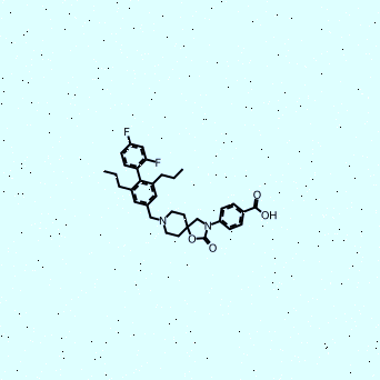 CCCc1cc(CN2CCC3(CC2)CN(c2ccc(C(=O)O)cc2)C(=O)O3)cc(CCC)c1-c1ccc(F)cc1F